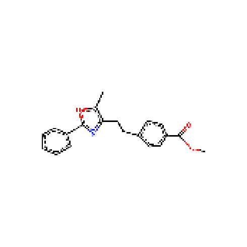 COC(=O)c1ccc(CCc2nc(-c3ccccc3)oc2C)cc1